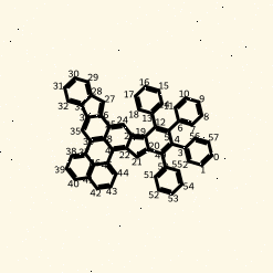 c1ccc(-c2c(-c3ccccc3)c(-c3ccccc3)c3c(cc4c3cc3c5cc6ccccc6c5cc5c6cccc7cccc(c76)c4c35)c2-c2ccccc2)cc1